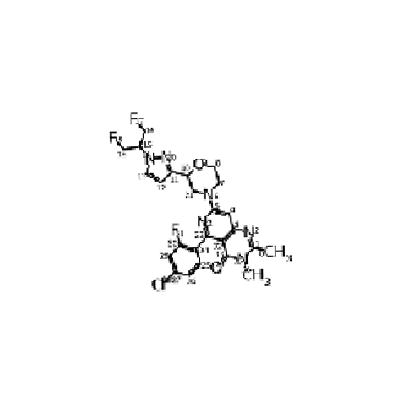 Cc1nc2cc(N3CCO[C@H](c4ccn(C(CF)CF)n4)C3)nc(-c3ccc(Cl)cc3F)c2c(=O)n1C